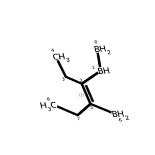 BB/C(CC)=C(\B)CC